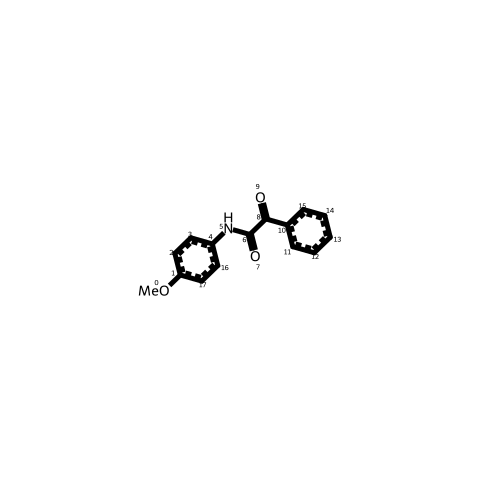 COc1ccc(NC(=O)C(=O)c2ccccc2)cc1